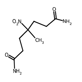 CC(CCC(N)=O)(CCC(N)=O)[N+](=O)[O-]